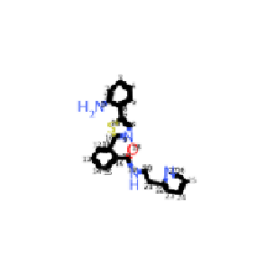 Nc1ccccc1-c1cnc(-c2ccccc2C(=O)NCCc2ccccn2)s1